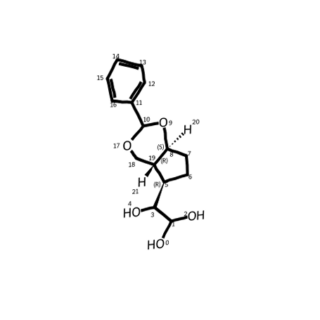 OC(O)C(O)[C@@H]1CC[C@@H]2OC(c3ccccc3)OC[C@H]21